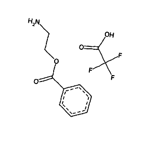 NCCOC(=O)c1ccccc1.O=C(O)C(F)(F)F